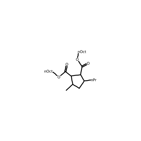 CCCCCCCCOC(=O)C1C(C)CC(CCC)C1C(=O)OCCCCCCCC